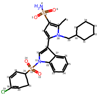 Cc1c(S(N)(=O)=O)cc(-c2cn(S(=O)(=O)C3C=CC(Cl)=CC3)c3ccccc23)n1CC1CCCCC1